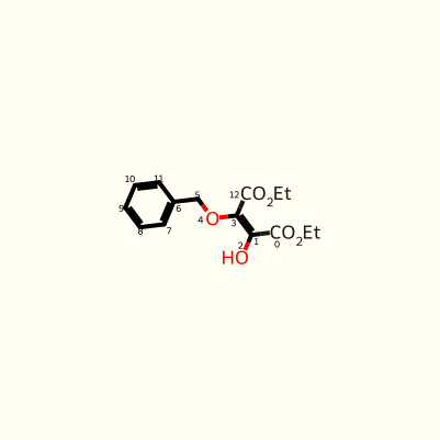 CCOC(=O)/C(O)=C(/OCc1ccccc1)C(=O)OCC